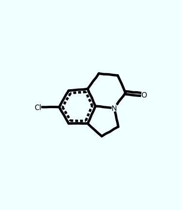 O=C1CCc2cc(Cl)cc3c2N1CC3